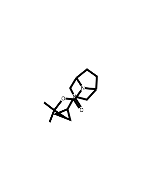 CC(C)(C)OC(=O)N1C2CCC1CN(C1CC1)C2